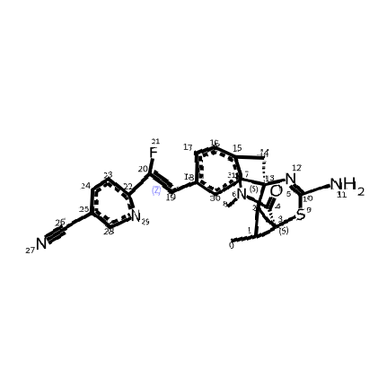 CC1C2[C@@]1(C(=O)N(C)C)SC(N)=N[C@@]21Cc2ccc(/C=C(\F)c3ccc(C#N)cn3)cc21